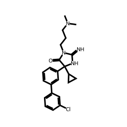 CN(C)CCCN1C(=N)NC(c2cccc(-c3cccc(Cl)c3)c2)(C2CC2)C1=O